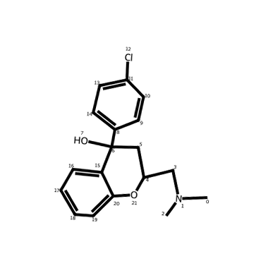 CN(C)CC1CC(O)(c2ccc(Cl)cc2)c2ccccc2O1